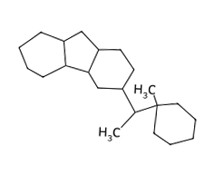 CC(C1CCC2CC3CCCCC3C2C1)C1(C)CCCCC1